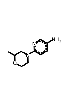 CC1CN(c2ccc(N)cn2)CCO1